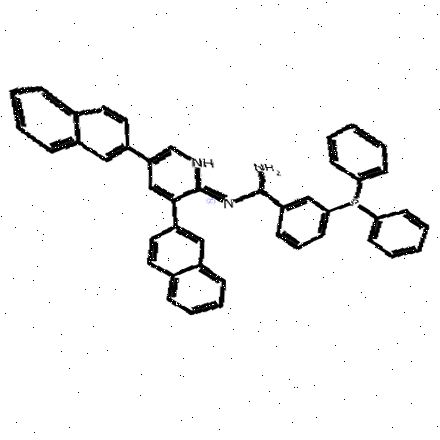 NC(/N=c1\[nH]cc(-c2ccc3ccccc3c2)cc1-c1ccc2ccccc2c1)c1cccc(P(c2ccccc2)c2ccccc2)c1